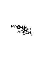 CC1=CNC2=COC(c3ccc(O)cc3)=CC2=C1C(=O)O